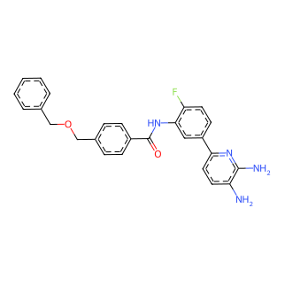 Nc1ccc(-c2ccc(F)c(NC(=O)c3ccc(COCc4ccccc4)cc3)c2)nc1N